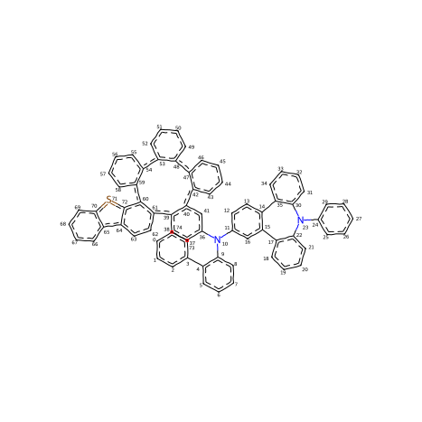 c1ccc(-c2ccccc2N(c2ccc3c(c2)-c2ccccc2N(c2ccccc2)c2ccccc2-3)c2ccc3c(c2)c2ccccc2c2ccccc2c2ccccc2c2c3ccc3c4ccccc4sc32)cc1